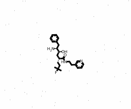 CC(C)(F)CC[C@H](C[C@H](O)[C@@H](N)Cc1ccccc1)C(=O)NCCc1cccnc1